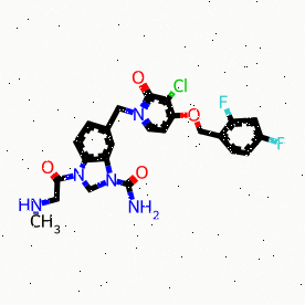 CNCC(=O)N1CN(C(N)=O)c2cc(Cn3ccc(OCc4ccc(F)cc4F)c(Cl)c3=O)ccc21